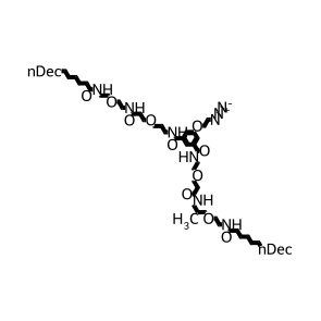 CCCCCCCCCCCCCCCC(=O)NCCOCCNC(=O)CCOCCCNC(=O)c1cc(OCCN=[N+]=[N-])cc(C(=O)NCCOCCC(=O)NCC(C)COCCNC(=O)CCCCCCCCCCCCCCC)c1